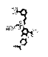 CCOC(=O)CS(=O)(=O)N(C/C=C/c1cccc(C(=N)N)c1)c1cc(C)c(OC2CCN(C(C)=N)CC2)c(C(N)=O)c1.Cl.Cl